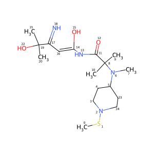 CSN1CCC(N(C)C(C)(C)C(=O)N/C(O)=C/C(=N)C(C)(C)O)CC1